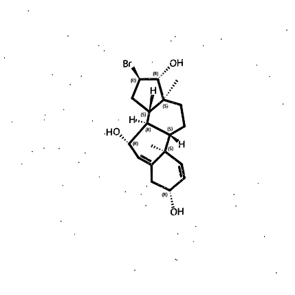 C[C@]12CC[C@H]3[C@@H]([C@@H](O)C=C4C[C@@H](O)C=C[C@@]43C)[C@@H]1C[C@@H](Br)[C@@H]2O